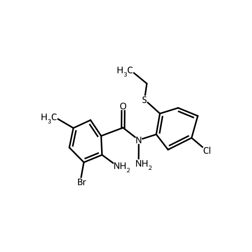 CCSc1ccc(Cl)cc1N(N)C(=O)c1cc(C)cc(Br)c1N